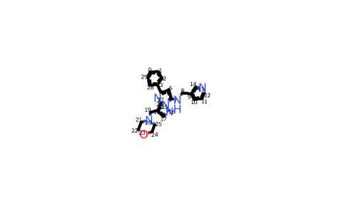 c1ccc(-c2cc(NCc3cccnc3)n3ncc(CN4CCOCC4)c3n2)cc1